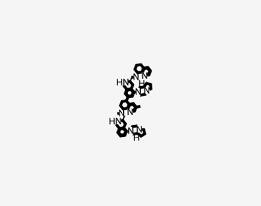 Cc1cnc2c(c1)C(c1cc3c(c(N4CCN5CCC[C@H]5C4)c1)C[C@H](CN(C)[C@H]1CCCc4cccnc41)NC3)CC[C@@H]2N(C)C[C@H]1Cc2c(cccc2N2CCN3CCC[C@@H]3C2)CN1